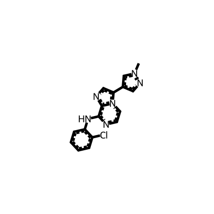 Cn1cc(-c2cnc3c(Nc4ccccc4Cl)nccn23)cn1